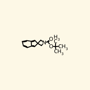 CC(C)(C)OC(=O)N1CC2(C=c3ccccc3=C2)C1